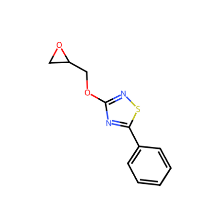 c1ccc(-c2nc(OCC3CO3)ns2)cc1